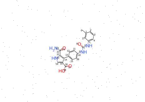 Cc1cccc(NC(=O)Nc2ccc(-c3c(C(=O)O)c[nH]c3C(N)=O)cc2)c1